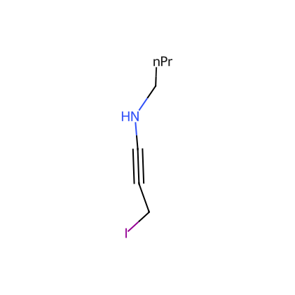 CCCCNC#CCI